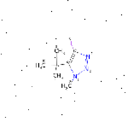 Cn1nnc(I)c1C(C)(C)C